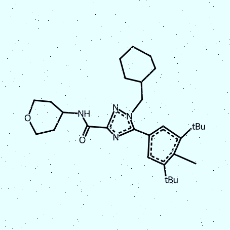 Cc1c(C(C)(C)C)cc(-c2nc(C(=O)NC3CCOCC3)nn2CC2CCCCC2)cc1C(C)(C)C